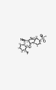 CS(=O)(=O)c1ccc2c(Oc3ccccc3F)c(C#N)sc2c1